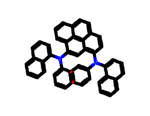 c1ccc(N(c2cccc3ccccc23)c2cc3c(N(c4ccccc4)c4cccc5ccccc45)ccc4ccc5cccc2c5c43)cc1